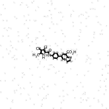 Cc1[nH]c(C(=O)Nc2ccc(-c3cc(C(=O)O)c4nccn4c3)cc2)c(Cl)c1Cl